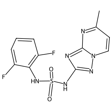 Cc1ccn2nc(NS(=O)(=O)Nc3c(F)cccc3F)nc2n1